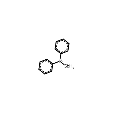 [SbH2][I+](c1ccccc1)c1ccccc1